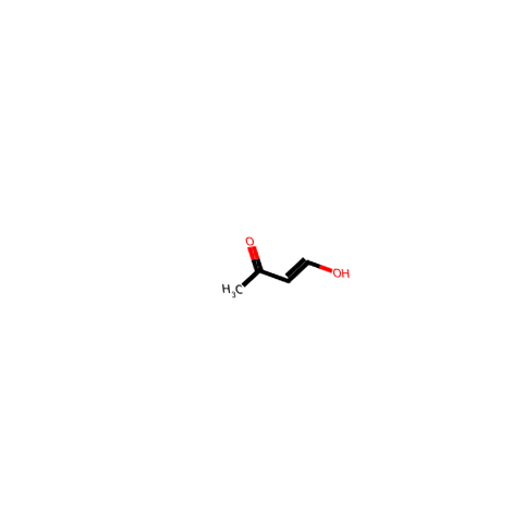 CC(=O)C=CO